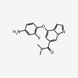 CN(C)C(=O)c1cc(Oc2ccc(N)cc2F)c2ccnn2c1